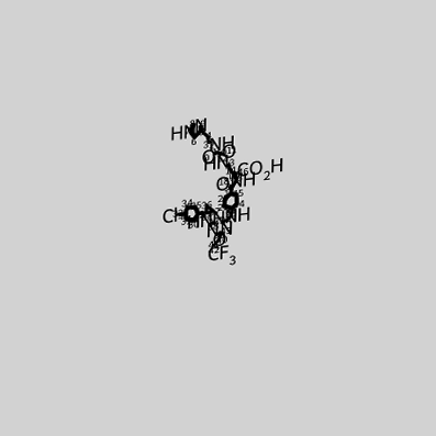 O=C(NCCc1c[nH]cn1)C(=O)NCC[C@H](NC(=O)c1ccc(Nc2nc(NC3(c4ccc(Cl)cc4)CC3)nc(OCC(F)(F)F)n2)cc1)C(=O)O